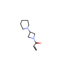 C=CC(=O)N1CC(N2CCCCC2)C1